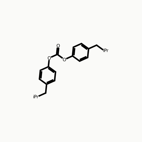 CC(C)Cc1ccc(OC(=O)Oc2ccc(CC(C)C)cc2)cc1